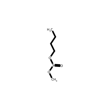 CCCCO[Si](=O)OC